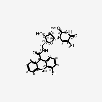 CCc1cn([C@@H]2O[C@H](CNC(=O)C3c4ccccc4Sc4c(Cl)cccc43)[C@@H](O)[C@H]2F)c(=O)[nH]c1=O